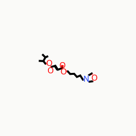 CC(C)C(C)COC(=O)/C=C/C(=O)OCCCCCCN1CCOCC1